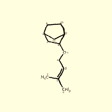 CC(C)=CCOC1CC2CCC1C2